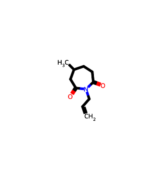 C=CCN1C(=O)CCC(C)CC1=O